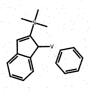 C[Si](C)(C)C1=Cc2ccccc2[CH]1[V].c1ccccc1